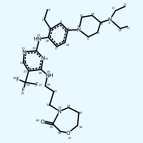 CCc1cc(N2CCC(N(CC)CC)CC2)ccc1Nc1ncc(C(F)(F)F)c(NCCCN2CCCOCC2=O)n1